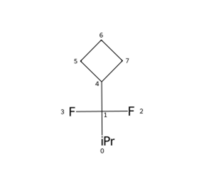 CC(C)C(F)(F)C1CCC1